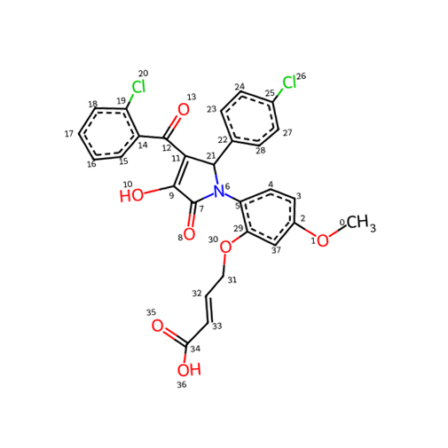 COc1ccc(N2C(=O)C(O)=C(C(=O)c3ccccc3Cl)C2c2ccc(Cl)cc2)c(OC/C=C/C(=O)O)c1